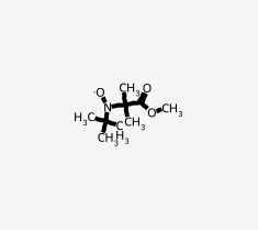 COC(=O)C(C)(C)N([O])C(C)(C)C